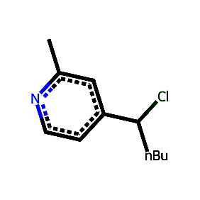 CCCCC(Cl)c1ccnc(C)c1